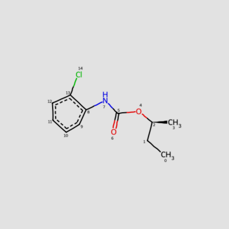 CC[C@H](C)OC(=O)Nc1ccccc1Cl